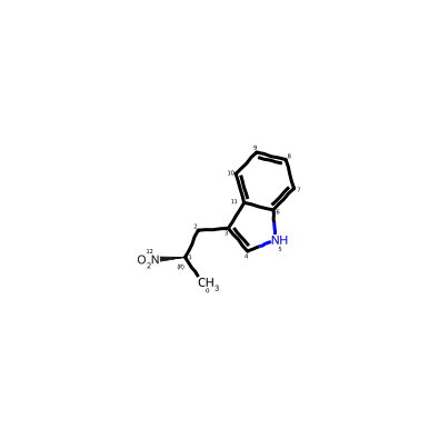 C[C@H](Cc1c[nH]c2ccccc12)[N+](=O)[O-]